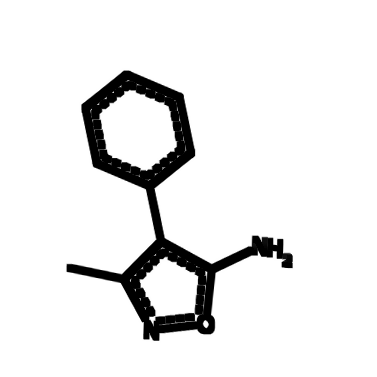 Cc1noc(N)c1-c1ccccc1